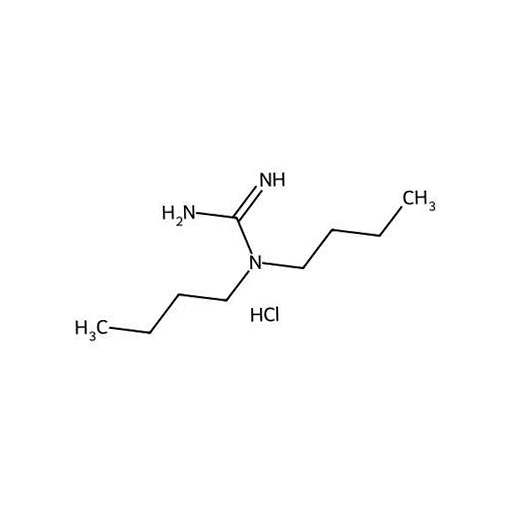 CCCCN(CCCC)C(=N)N.Cl